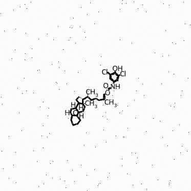 CC(=COC(=O)Nc1cc(Cl)c(O)c(Cl)c1)CCC[C@@H](C)[C@H]1CC[C@H]2[C@@H]3CCC4CCCC[C@]4(C)[C@H]3CC[C@]12C